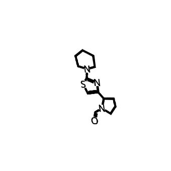 O=CN1CCCC1c1csc(N2CCCCC2)n1